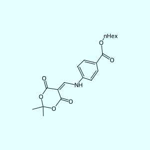 CCCCCCOC(=O)c1ccc(NC=C2C(=O)OC(C)(C)OC2=O)cc1